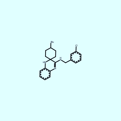 CCC(C)C1CCC2(CC1)Nc1ccccc1N=C2NCc1cccc(Cl)c1